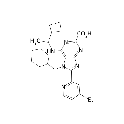 CCc1ccnc(-c2nc3nc(C(=O)O)nc(NC(C)C4CCC4)c3n2CC2CCCCC2)c1